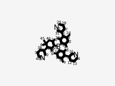 CC1=C(B(c2c(C)cc(C)c(-c3cccnc3)c2C)c2c(C)cc(C)c(-c3cccnc3)c2C)C(C)=C(c2cccnc2)C(C)(C)C1